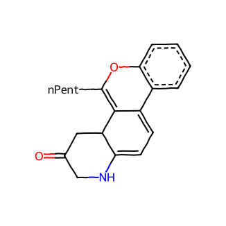 CCCCCC1=C2C(=CC=C3NCC(=O)CC32)c2ccccc2O1